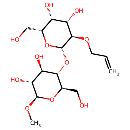 C=CCO[C@H]1[C@H](O[C@H]2[C@H](O)[C@@H](O)[C@H](OC)O[C@@H]2CO)O[C@H](CO)[C@H](O)[C@@H]1O